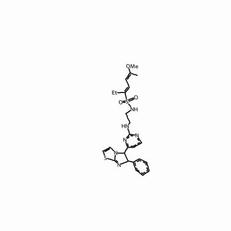 CC/C(=C\C=C(/C)OC)S(=O)(=O)NCCNc1nccc(C2C(c3ccccc3)N=C3SC=CN32)n1